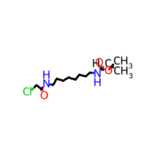 CC(C)(C)OC(=O)NCCCCCCCCNC(=O)CCl